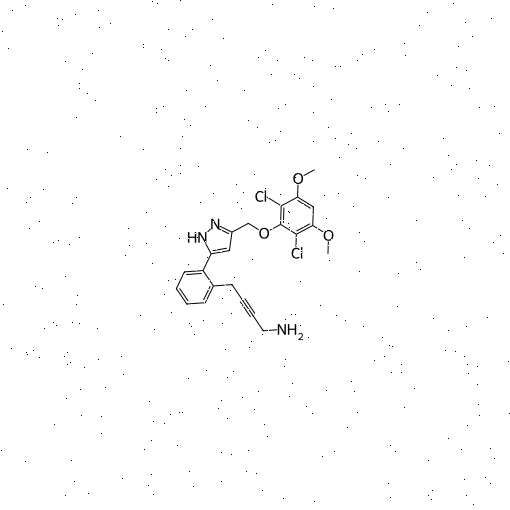 COc1cc(OC)c(Cl)c(OCc2cc(-c3ccccc3CC#CCN)[nH]n2)c1Cl